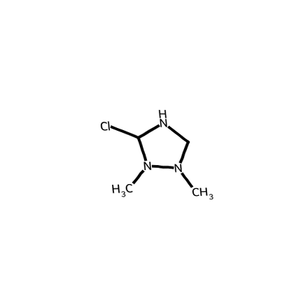 CN1CNC(Cl)N1C